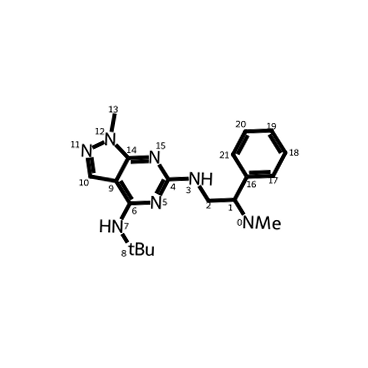 CNC(CNc1nc(NC(C)(C)C)c2cnn(C)c2n1)c1ccccc1